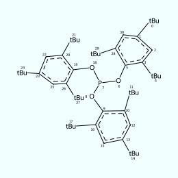 CC(C)(C)c1cc(C(C)(C)C)c(OP(Oc2c(C(C)(C)C)cc(C(C)(C)C)cc2C(C)(C)C)Oc2c(C(C)(C)C)cc(C(C)(C)C)cc2C(C)(C)C)c(C(C)(C)C)c1